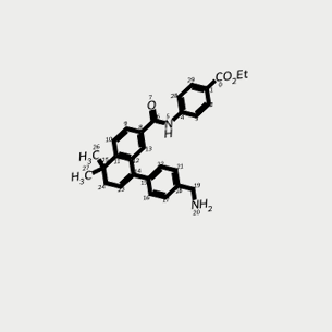 CCOC(=O)c1ccc(NC(=O)c2ccc3c(c2)C(c2ccc(CN)cc2)=CCC3(C)C)cc1